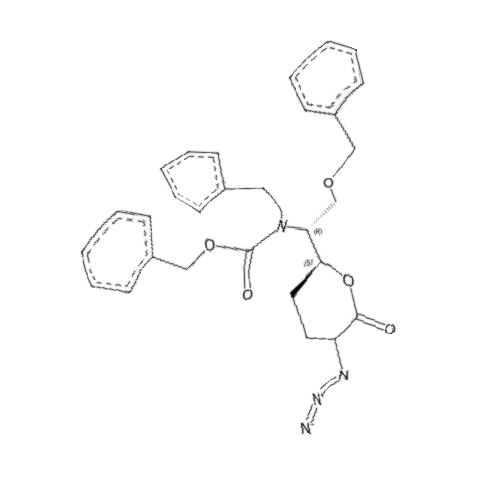 [N-]=[N+]=NC1CC[C@@H]([C@@H](COCc2ccccc2)N(Cc2ccccc2)C(=O)OCc2ccccc2)OC1=O